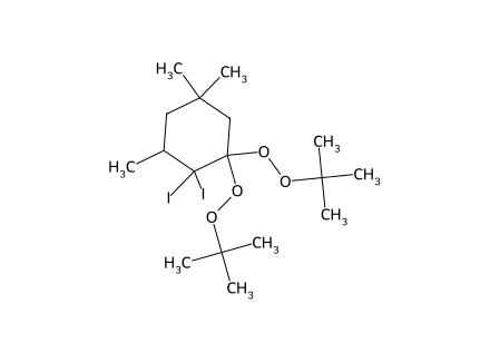 CC1CC(C)(C)CC(OOC(C)(C)C)(OOC(C)(C)C)C1(I)I